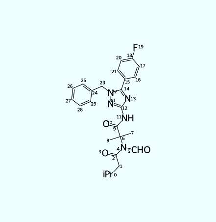 CC(C)CC(=O)N(C=O)C(C)(C)C(=O)Nc1nc(-c2ccc(F)cc2)n(Cc2ccccc2)n1